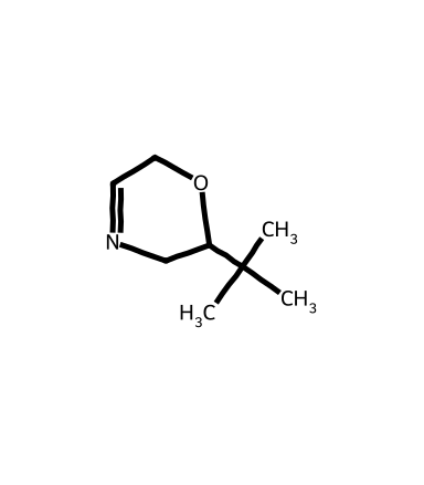 CC(C)(C)C1CN=CCO1